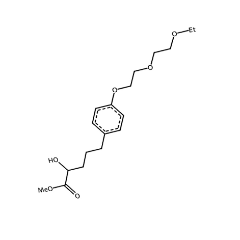 CCOCCOCCOc1ccc(CCCC(O)C(=O)OC)cc1